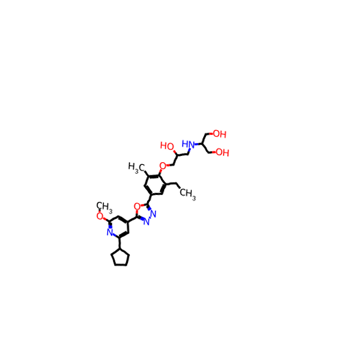 CCc1cc(-c2nnc(-c3cc(OC)nc(C4CCCC4)c3)o2)cc(C)c1OCC(O)CNC(CO)CO